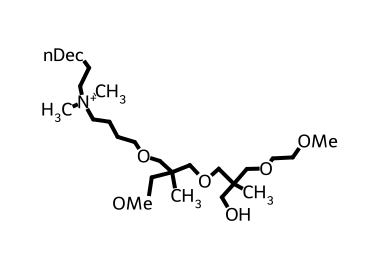 CCCCCCCCCCCC[N+](C)(C)CCCCOCC(C)(COC)COCC(C)(CO)COCCOC